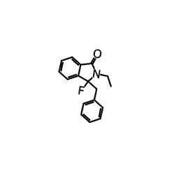 CCN1C(=O)c2ccccc2C1(F)Cc1ccccc1